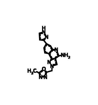 Cc1nnc(Cn2cc3c(N)nc4cc(-c5cc[nH]n5)ccc4c3n2)o1